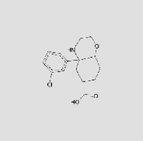 Clc1cccc(C23CCCCC2OCCN3)c1.O=CO